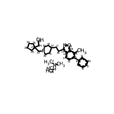 CNC.Cc1c(-c2ccccc2)ccc2c(CCC3CCN(CC4(CO)CCCC4)CC3)noc12.Cl.Cl